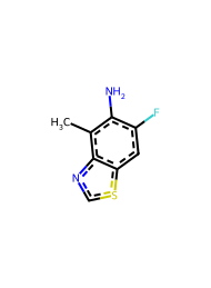 Cc1c(N)c(F)cc2scnc12